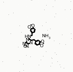 N.c1cc2c(cc1CNc1nc3nonc3nc1Cc1ccc3c(c1)OCO3)OCO2